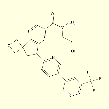 CN(CCO)C(=O)c1ccc2c(c1)N(c1ncc(-c3cccc(C(F)(F)F)c3)cn1)CC21COC1